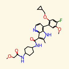 COCC(=O)NC1CCC(NC(=O)c2c(C)[nH]c3c(-c4cc(OC)c(F)cc4OCC4CC4)ccnc23)CC1